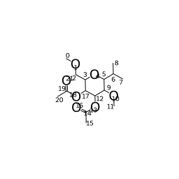 COCC1OC(C(C)C)C(OC)C(OC(C)=O)C1OC(C)=O